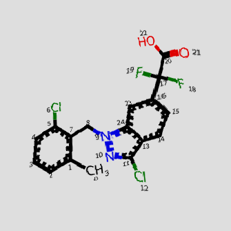 Cc1cccc(Cl)c1Cn1nc(Cl)c2ccc(C(F)(F)C(=O)O)cc21